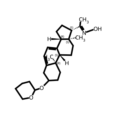 CC(=NO)[C@H]1CC[C@H]2C3=CC=C4CC(OC5CCCCO5)CC[C@]4(C)[C@H]3CC[C@]12C